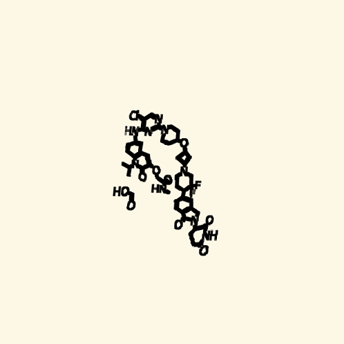 CNC(=O)COc1cc2cc(Nc3nc(N4CCC(OC5CC(N6CCC(c7ccc8c(c7)CN(C7CCC(=O)NC7=O)C8=O)C(F)(F)C6)C5)CC4)ncc3Cl)ccc2n(C(C)C)c1=O.O=CO